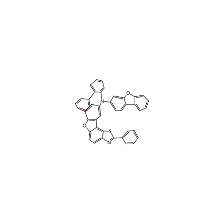 c1ccc(-c2nc3ccc4oc5ccc(N(c6ccc7c(c6)oc6ccccc67)c6ccccc6-c6ccccc6)cc5c4c3s2)cc1